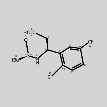 CC(C)(C)[S@@+]([O-])N[C@@H](CC(=O)O)c1cc(C(F)(F)F)ccc1Cl